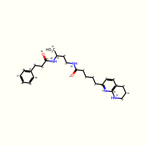 O=C(CCCCc1ccc2c(n1)NCCC2)NCCC(NC(=O)CCc1ccccc1)C(=O)O